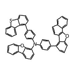 c1ccc2c(c1)ccc1c2oc2cccc(-c3ccc(N(c4ccc(-c5cccc6sc7ccccc7c56)cc4)c4cccc5c4oc4ccccc45)cc3)c21